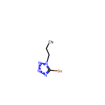 N#CCCn1nnnc1S